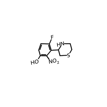 O=[N+]([O-])c1c(O)ccc(F)c1C1CSCCN1